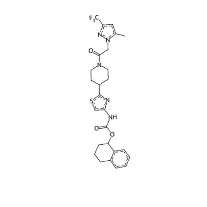 Cc1cc(C(F)(F)F)nn1CC(=O)N1CCC(c2nc(NC(=O)OC3CCCc4ccccc43)cs2)CC1